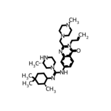 C=CCn1c(CN2CCN(C)CC2)nc2cc(N/C(=N/C3CCC(C)(C)C[C@@H]3C)N3CCN[C@@H](C)C3)ccc2c1=O